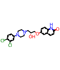 O=c1ccc2cc(OC[C@H](O)CN3CCN(c4ccc(Cl)c(Cl)c4)CC3)ccc2[nH]1